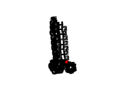 CC(=C(C(C)(C)C(C)(C)C)[Si](C)(C)O[Si](C)(C)O[Si](C)(C)O[SiH](C)O[SiH2]O[SiH2]O[SiH2]O[SiH2]O[SiH2]O[SiH2]O[SiH2]O[SiH2]O[Si](C)(C)C)C1(C)C(C)(C)C(C)(C)C(C)(C)C(C)(C)C1(C)C